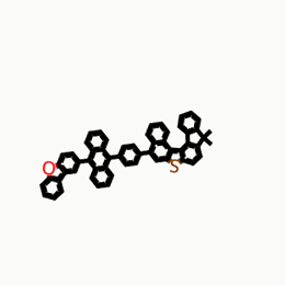 CC1(C)c2ccccc2-c2c1ccc1sc3cc(-c4ccc(-c5c6ccccc6c(-c6ccc7oc8ccccc8c7c6)c6ccccc56)cc4)c4ccccc4c3c21